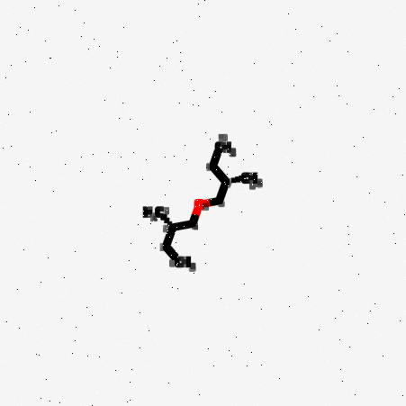 CC[C@H](C)COC[C@@H](C)CC